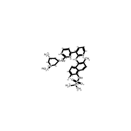 Cc1ccc2c(NS(=O)(=O)N(C)C)c(F)ccc2c1Oc1ncccc1-c1ccnc(N[C@H]2C[C@@H](C)CN(C(=O)O)C2)n1